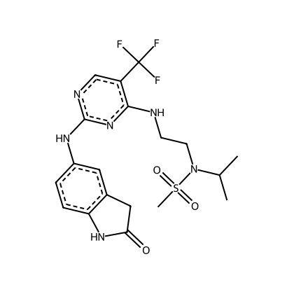 CC(C)N(CCNc1nc(Nc2ccc3c(c2)CC(=O)N3)ncc1C(F)(F)F)S(C)(=O)=O